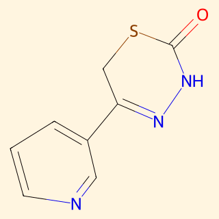 O=C1NN=C(c2cccnc2)CS1